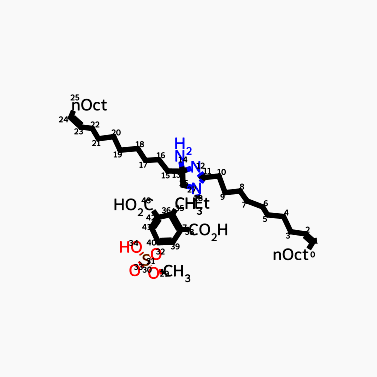 CCCCCCCC/C=C\CCCCCCCCC1=NC(N)(CCCCCCCC/C=C\CCCCCCCC)CN1CC.COS(=O)(=O)O.Cc1c(C(=O)O)cccc1C(=O)O